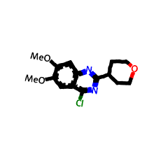 COc1cc2nc(C3CCOCC3)nc(Cl)c2cc1OC